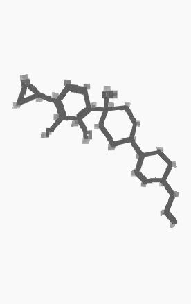 CCCC1CCC(C2CCC(O)(c3ccc(C4CO4)c(F)c3Cl)CC2)CC1